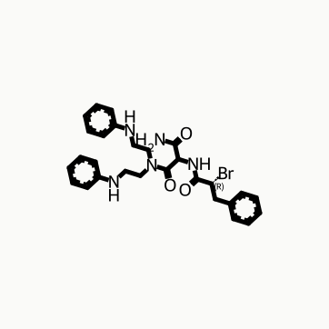 NC(=O)C(NC(=O)[C@H](Br)Cc1ccccc1)C(=O)N(CCNc1ccccc1)CCNc1ccccc1